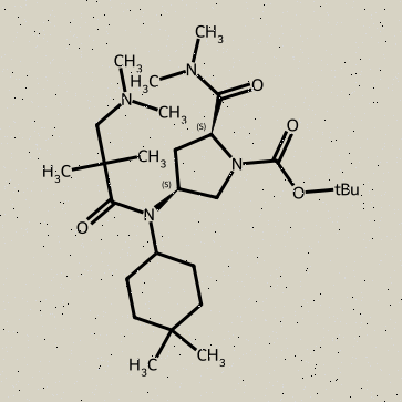 CN(C)CC(C)(C)C(=O)N(C1CCC(C)(C)CC1)[C@H]1C[C@@H](C(=O)N(C)C)N(C(=O)OC(C)(C)C)C1